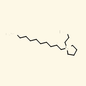 CCCCCCCCCCCCCCCCCCC[N+]1(CCCCCCCCCCCC)CCCC1